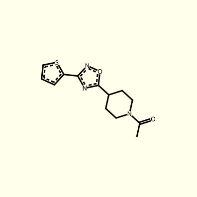 CC(=O)N1CCC(c2nc(-c3cccs3)no2)CC1